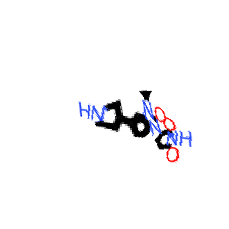 O=C1CCC(n2c(=O)n(C3CC3)c3cc(C4CCNCC4)ccc32)C(=O)N1